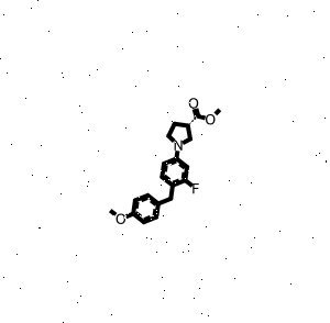 COC(=O)[C@H]1CCN(c2ccc(Cc3ccc(OC)cc3)c(F)c2)C1